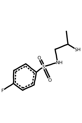 CC(S)CNS(=O)(=O)c1ccc(F)cc1